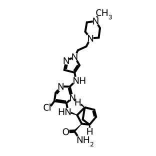 CN1CCN(CCn2cc(Nc3ncc(Cl)c(N[C@@H]4[C@H](C(N)=O)[C@H]5C=C[C@@H]4C5)n3)cn2)CC1